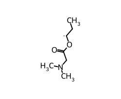 CC[CH]OC(=O)CN(C)C